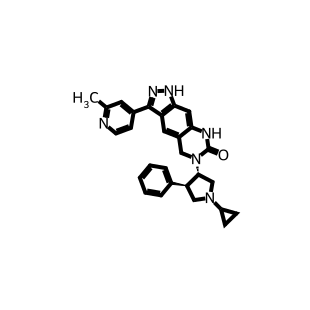 Cc1cc(-c2n[nH]c3cc4c(cc23)CN([C@@H]2CN(C3CC3)C[C@H]2c2ccccc2)C(=O)N4)ccn1